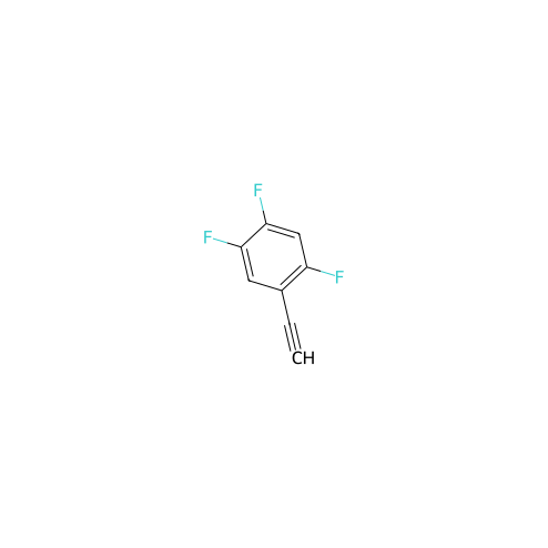 C#Cc1cc(F)c(F)cc1F